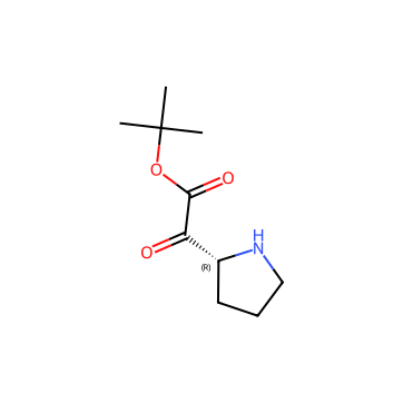 CC(C)(C)OC(=O)C(=O)[C@H]1CCCN1